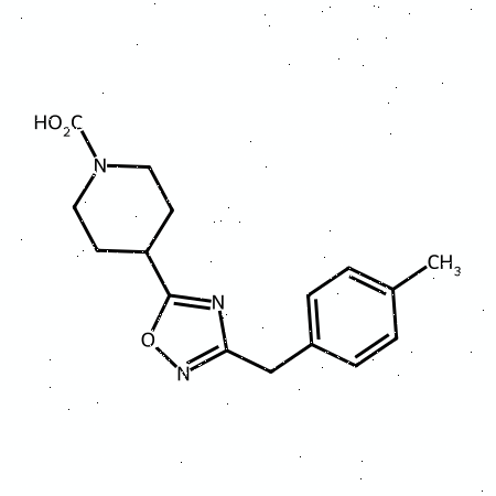 Cc1ccc(Cc2noc(C3CCN(C(=O)O)CC3)n2)cc1